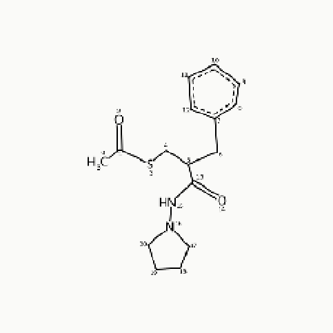 CC(=O)SCC(Cc1ccccc1)C(=O)NN1CCCC1